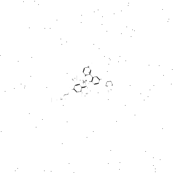 COCCOc1cc2ncnc(Nc3ccc(OC4CCN(C)C4)cc3C3=CC(=O)C=CC3=O)c2cc1OC